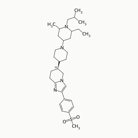 CCC1CC(N2CCC([C@@H]3CCc4nc(-c5ccc(S(C)(=O)=O)cc5)cn4C3)CC2)CC(C)N1CC(C)C